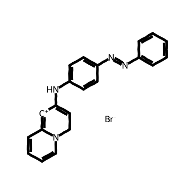 [Br-].[C+]1=C2C=CC=CN2CC=C1Nc1ccc(N=Nc2ccccc2)cc1